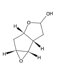 OC1C[C@@H]2[C@@H]3O[C@@H]3C[C@@H]2O1